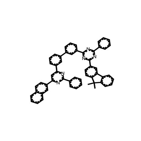 CC1(C)c2ccccc2-c2cc(-c3nc(-c4ccccc4)nc(-c4cccc(-c5cccc(-c6cc(-c7ccc8ccccc8c7)nc(-c7ccccc7)n6)c5)c4)n3)ccc21